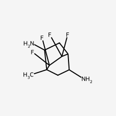 CC12CC(N)C(CC1N)C(F)(F)C2(F)F